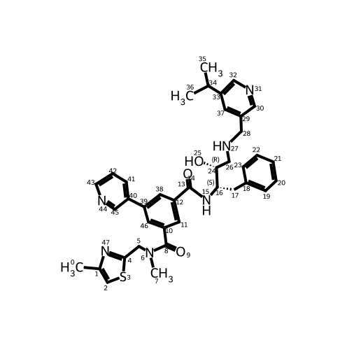 Cc1csc(CN(C)C(=O)c2cc(C(=O)N[C@@H](Cc3ccccc3)[C@H](O)CNCc3cncc(C(C)C)c3)cc(-c3cccnc3)c2)n1